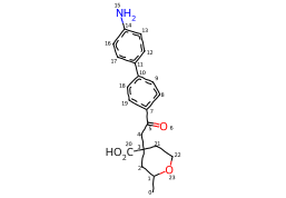 CC1CC(CC(=O)c2ccc(-c3ccc(N)cc3)cc2)(C(=O)O)CCO1